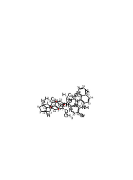 COc1cc(N2C[C@H]3CC[C@@H](C2)C3N2CCN(C)CC2)c(C)cc1Nc1ncc(Br)c(Nc2ccc3nccnc3c2NS(C)(=O)=O)n1